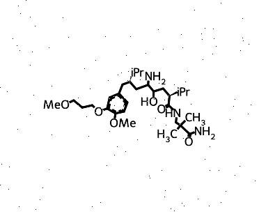 COCCCOc1cc(C[C@@H](CC(N)C(O)C[C@H](C(=O)NCC(C)(C)C(N)=O)C(C)C)C(C)C)ccc1OC